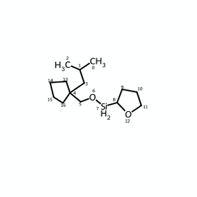 CC(C)CC1(CO[SiH2]C2CCCO2)CCCC1